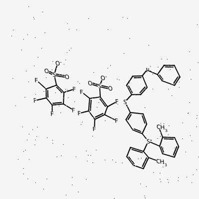 Cc1ccccc1[S+](c1ccc(Sc2ccc([I+]c3ccccc3)cc2)cc1)c1ccccc1C.O=S(=O)([O-])c1c(F)c(F)c(F)c(F)c1F.O=S(=O)([O-])c1c(F)c(F)c(F)c(F)c1F